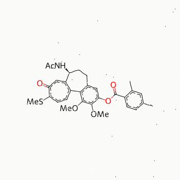 COc1c(OC(=O)c2ccc(C)cc2C)cc2c(c1OC)-c1ccc(SC)c(=O)cc1[C@@H](NC(C)=O)CC2